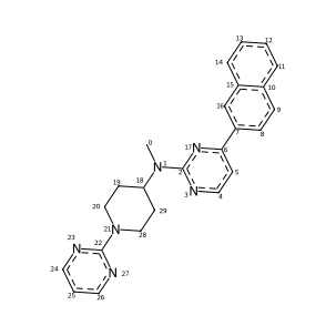 CN(c1nccc(-c2ccc3ccccc3c2)n1)C1CCN(c2ncccn2)CC1